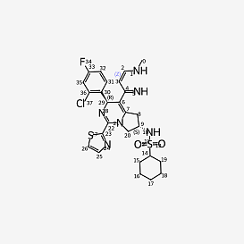 CN/C=C\C(=N)C1=C2C[C@H](NS(=O)(=O)C3CCCCC3)CN2C(c2nccs2)=N[C@H]1c1ccc(F)cc1Cl